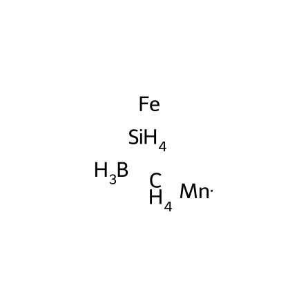 B.C.[Fe].[Mn].[SiH4]